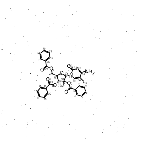 C[C@@]1(OC(=O)c2ccccc2)[C@H](OC(=O)c2ccccc2)[C@@H](COC(=O)c2ccccc2)O[C@H]1n1cc(I)c(N)nc1=O